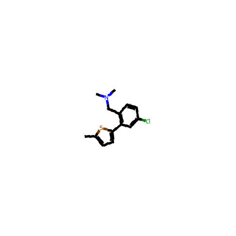 Cc1ccc(-c2cc(Cl)ccc2CN(C)C)s1